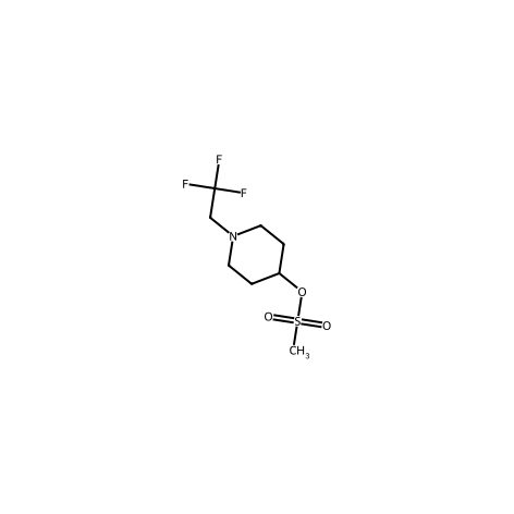 CS(=O)(=O)OC1CCN(CC(F)(F)F)CC1